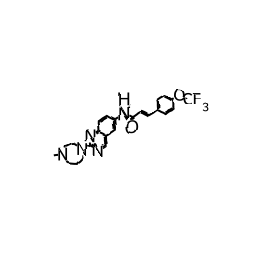 CN1CCCN(c2ncc3cc(NC(=O)C=Cc4ccc(OC(F)(F)F)cc4)ccc3n2)CC1